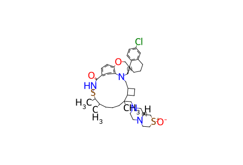 CC1CCCC(C)(CN2CCN3CC[S+]([O-])C[C@H]3C2)C2CCC2CN2C[C@@]3(CCCc4cc(Cl)ccc43)COc3ccc(cc32)C(=O)NSC1C